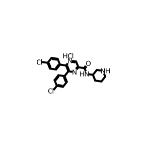 Cl.O=C(NC1CCCNC1)c1cnc(-c2ccc(Cl)cc2)c(-c2ccc(Cl)cc2)n1